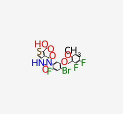 COc1ccc(F)c(F)c1COc1cc(-n2c(=O)[nH]c3csc(C(=O)O)c3c2=O)c(F)cc1Br